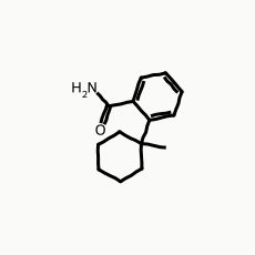 CC1(c2ccccc2C(N)=O)CCCCC1